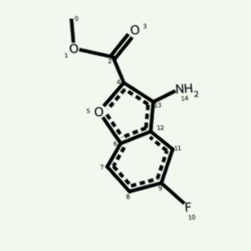 COC(=O)c1oc2ccc(F)cc2c1N